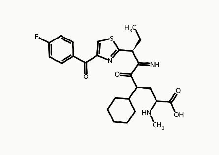 CC[C@@H](C(=N)C(=O)[C@@H](CC(NC)C(=O)O)C1CCCCC1)c1nc(C(=O)c2ccc(F)cc2)cs1